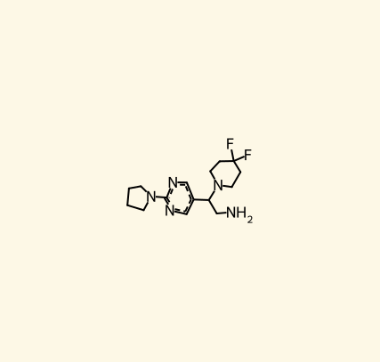 NCC(c1cnc(N2CCCC2)nc1)N1CCC(F)(F)CC1